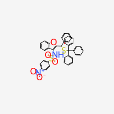 O=[N+]([O-])c1ccc(S(=O)(=O)Nc2c([C@H](SC(c3ccccc3)(c3ccccc3)c3ccccc3)c3ccccc3)oc3ccccc23)cc1